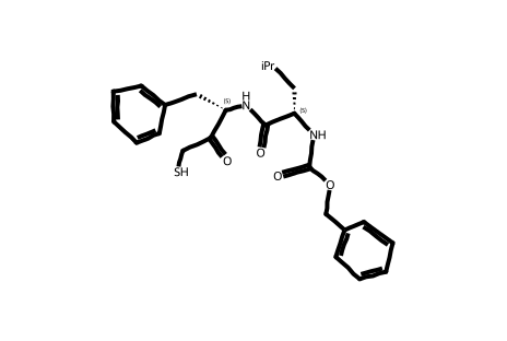 CC(C)C[C@H](NC(=O)OCc1ccccc1)C(=O)N[C@@H](Cc1ccccc1)C(=O)CS